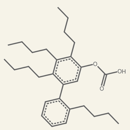 CCCCc1ccccc1-c1cc(OC(=O)O)c(CCCC)c(CCCC)c1CCCC